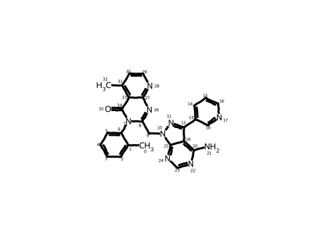 Cc1ccccc1-n1c(Cn2nc(-c3cccnc3)c3c(N)ncnc32)nc2nccc(C)c2c1=O